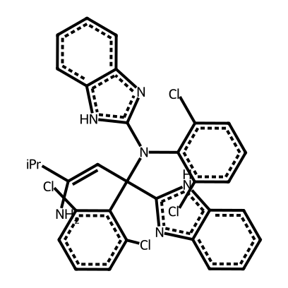 CC(C)C(N)=CC(c1nc2ccccc2[nH]1)(c1c(Cl)cccc1Cl)N(c1nc2ccccc2[nH]1)c1c(Cl)cccc1Cl